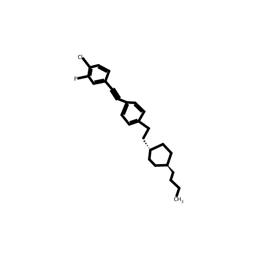 CCCC[C@H]1CC[C@H](CCc2ccc(C#Cc3ccc(Cl)c(F)c3)cc2)CC1